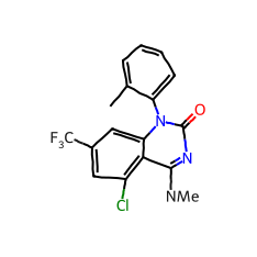 CNc1nc(=O)n(-c2ccccc2C)c2cc(C(F)(F)F)cc(Cl)c12